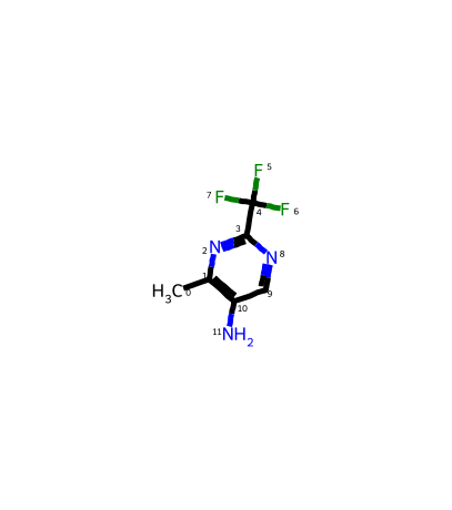 Cc1nc(C(F)(F)F)ncc1N